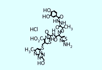 Cc1cc(SCC2=C(C(=O)O)N3C(=O)C(NC(=O)C(=NOC(C)C(=O)NNC(=O)c4ccc(O)c(O)c4)c4csc(N)n4)[C@@H]3SC2)n2nc(CO)nc2n1.Cl